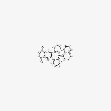 Brc1ccc(Br)c2nc3c(nc12)-c1ccccc1C(=C1CCCc2ccccc21)c1ccccc1-3